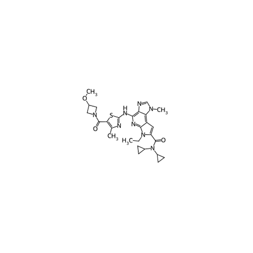 CCn1c(C(=O)N(C2CC2)C2CC2)cc2c3c(ncn3C)c(Nc3nc(C)c(C(=O)N4CC(OC)C4)s3)nc21